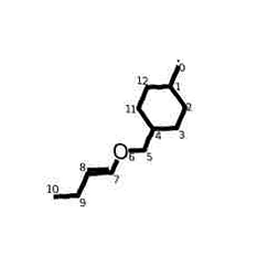 [CH2]C1CCC(COC=CCC)CC1